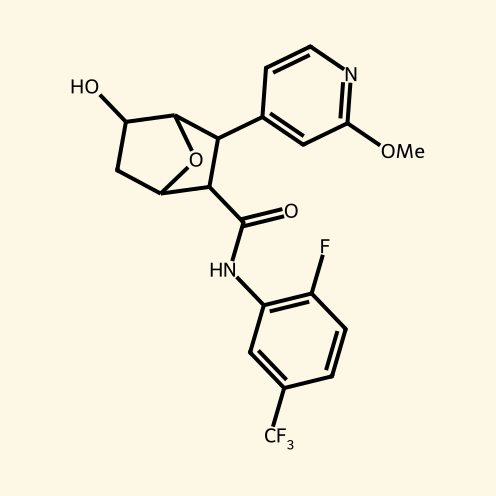 COc1cc(C2C3OC(CC3O)C2C(=O)Nc2cc(C(F)(F)F)ccc2F)ccn1